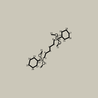 CO[Si](CCCCCC[Si](OC)(OC)C1CCCCC1)(OC)C1CCCCC1